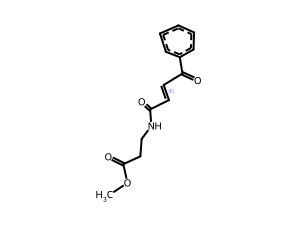 COC(=O)CCNC(=O)/C=C/C(=O)c1ccccc1